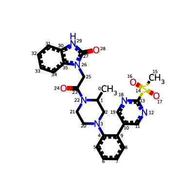 CC1CN(c2ccccc2-c2cnc(S(C)(=O)=O)nc2)CCN1C(=O)Cn1c(=O)[nH]c2ccccc21